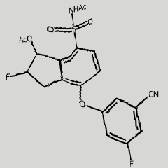 CC(=O)NS(=O)(=O)c1ccc(Oc2cc(F)cc(C#N)c2)c2c1C(OC(C)=O)C(F)C2